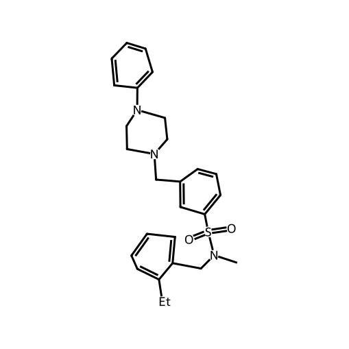 CCc1ccccc1CN(C)S(=O)(=O)c1cccc(CN2CCN(c3ccccc3)CC2)c1